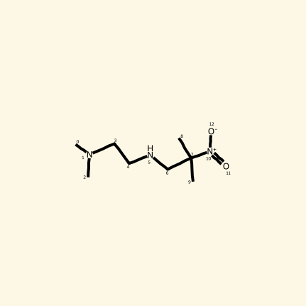 CN(C)CCNCC(C)(C)[N+](=O)[O-]